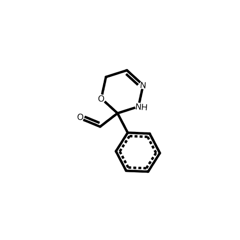 O=CC1(c2ccccc2)NN=CCO1